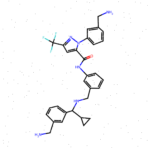 NCc1cccc(C(NCc2cccc(NC(=O)c3cc(C(F)(F)F)nn3-c3cccc(CN)c3)c2)C2CC2)c1